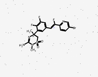 CN1C(N)=N[C@](C)(c2cc(/C=C(\F)c3ccc(Br)cn3)cc(F)c2F)CS1(=O)=O